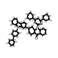 O=c1c2ccccc2n(-c2nc(-c3ccccc3)cc(-c3ccccc3)n2)c2cc(-c3ccc4c5ccccc5n(-c5ccc(-c6ccccc6)cc5)c4c3)ccc12